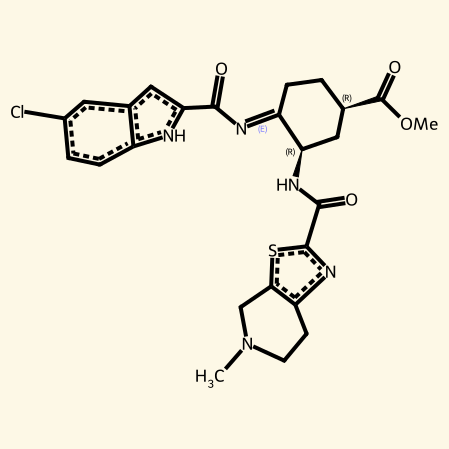 COC(=O)[C@@H]1CC/C(=N\C(=O)c2cc3cc(Cl)ccc3[nH]2)[C@H](NC(=O)c2nc3c(s2)CN(C)CC3)C1